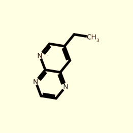 CCc1cnc2nccnc2c1